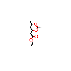 CCCC(CC(=O)OCC)OC(C)=O